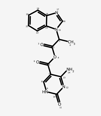 CC(C(=O)OC(=O)c1c[nH]c(=O)nc1N)n1cnc2ccccc21